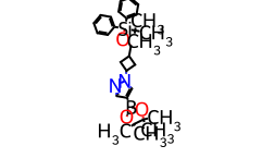 CC1(C)OB(c2cnn(C3CC(CO[Si](c4ccccc4)(c4ccccc4)C(C)(C)C)C3)c2)OC1(C)C